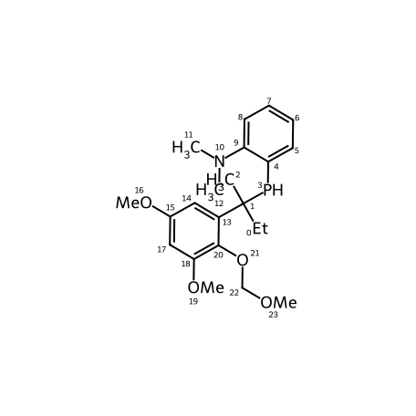 CCC(C)(Pc1ccccc1N(C)C)c1cc(OC)cc(OC)c1OCOC